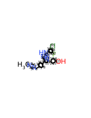 CN1CCN(Cc2ccc(-c3cc([C@H]4CC[C@H](O)CC4)n4nc(Nc5cc(F)cc(Cl)c5)ncc34)cc2)CC1